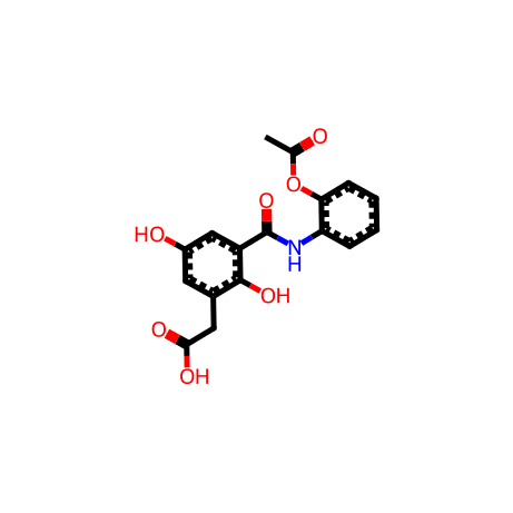 CC(=O)Oc1ccccc1NC(=O)c1cc(O)cc(CC(=O)O)c1O